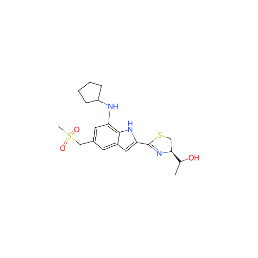 CC(O)[C@@H]1CSC(c2cc3cc(CS(C)(=O)=O)cc(NC4CCCC4)c3[nH]2)=N1